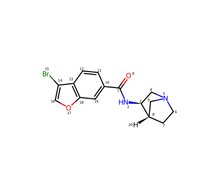 O=C(N[C@H]1CN2CC[C@H]1C2)c1ccc2c(Br)coc2c1